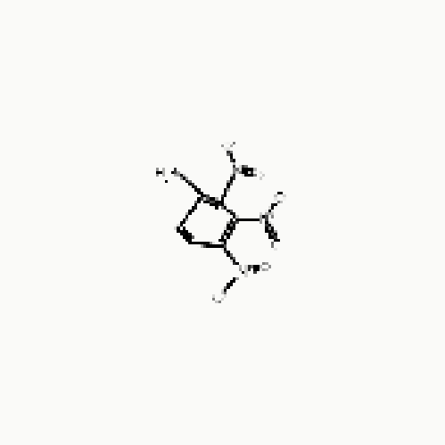 O=[N+]([O-])c1cc[c]([BiH2])c([N+](=O)[O-])c1[N+](=O)[O-]